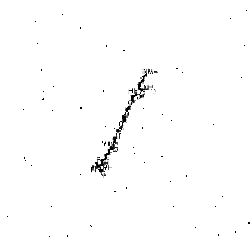 CNCCCCC(NC(=O)CCOCCOCCOCCOCCNC(=O)CCCCC1SC[C@H]2NC(=O)N[C@@H]12)C(N)=O